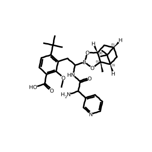 COc1c(C(=O)O)ccc(C(C)(C)C)c1CC(NC(=O)C(N)c1cccnc1)B1O[C@@H]2C[C@@H]3C[C@@H](C3(C)C)[C@]2(C)O1